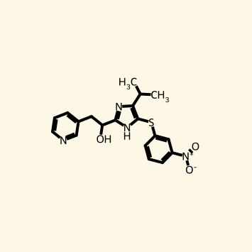 CC(C)c1nc(C(O)Cc2cccnc2)[nH]c1Sc1cccc([N+](=O)[O-])c1